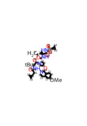 C=C[C@@H]1C[C@]1(NC(=O)[C@@H]1CC(Oc2nccc3cc(OC)ccc23)CN1C(=O)[C@@H](NC(=O)CC1CC1)C(C)(C)C)C(=O)NS(=O)(=O)C1CC1